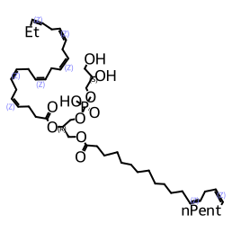 CC/C=C\C/C=C\C/C=C\C/C=C\C/C=C\C/C=C\CCC(=O)O[C@H](COC(=O)CCCCCCCCCCC/C=C\C/C=C\CCCCC)COP(=O)(O)OC[C@@H](O)CO